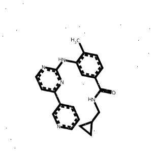 Cc1ccc(C(=O)NCC2CC2)cc1Nc1nccc(-c2cccnc2)n1